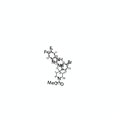 COC(=O)N1CCC(CNc2nc3cc(F)c(F)cc3[nH]2)(c2ccc(Br)cc2)CC1